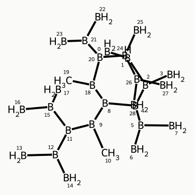 BBB(B)B(B(B)B)B(B(C)B(B(B)B)B(B)B)B(C)B(B(B)B)B(B)B(B)B